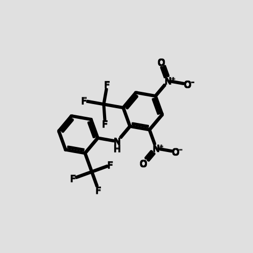 O=[N+]([O-])c1cc([N+](=O)[O-])c(Nc2ccccc2C(F)(F)F)c(C(F)(F)F)c1